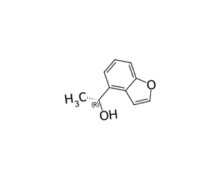 C[C@@H](O)c1cccc2occc12